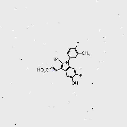 Cc1cc(-n2c(C(C)C)c(/C=C/C(=O)O)c3cc(O)c(F)cc32)ccc1F